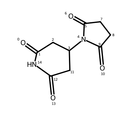 O=C1CC(N2C(=O)CCC2=O)CC(=O)N1